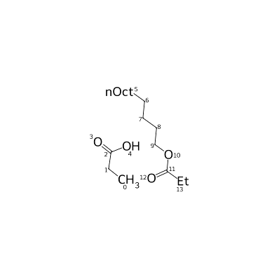 CCC(=O)O.CCCCCCCCCCCCOC(=O)CC